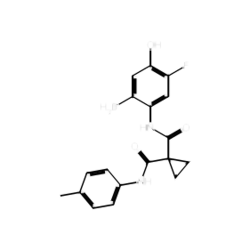 Bc1cc(O)c(F)cc1NC(=O)C1(C(=O)Nc2ccc(C)cc2)CC1